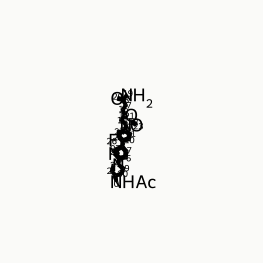 CC(=O)NC1CCN(c2ccc(-c3ccc(N4CC(CCC(N)=O)OC4=O)cc3F)cn2)CC1